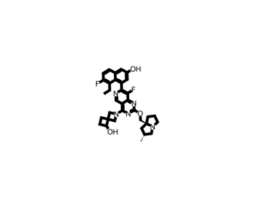 CCc1c(F)ccc2cc(O)cc(-c3ncc4c(N5CC6(CCC6O)C5)nc(OC[C@@]56CCCN5C[C@H](C)C6)nc4c3F)c12